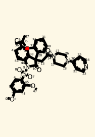 COc1ccc(S(=O)(=O)N2C(=O)C(CC(=O)N3CCN(c4ccncc4)CC3)(c3ccccc3OC(C)C)c3cc(Cl)ccc32)c(OC)c1